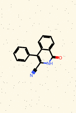 N#Cc1[nH]c(=O)c2ccccc2c1-c1ccccc1